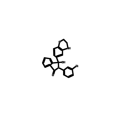 CCc1cccc(N2C(=O)c3ccccc3C2(O)c2ccc3c(c2)NCCO3)c1